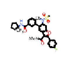 CCN(c1cc2oc(-c3ccc(F)cc3)c(C(=O)NC)c2cc1-c1cccc(C(=O)NC2(C(F)(F)F)CCCC2)c1)S(C)(=O)=O